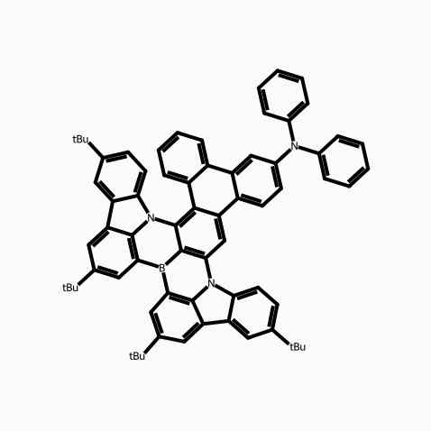 CC(C)(C)c1ccc2c(c1)c1cc(C(C)(C)C)cc3c1n2-c1cc2c4ccc(N(c5ccccc5)c5ccccc5)cc4c4ccccc4c2c2c1B3c1cc(C(C)(C)C)cc3c4cc(C(C)(C)C)ccc4n-2c13